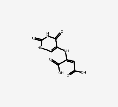 O=C(O)/C=C(/Nc1c[nH]c(=O)[nH]c1=O)C(=O)O